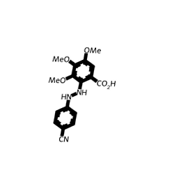 COc1cc(C(=O)O)c(NNc2ccc(C#N)cc2)c(OC)c1OC